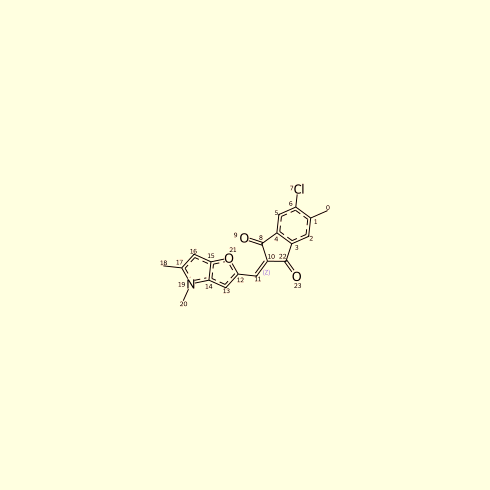 Cc1cc2c(cc1Cl)C(=O)/C(=C\c1cc3c(cc(C)n3C)o1)C2=O